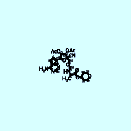 CC(=O)O[C@H]1[C@H](c2ccc3c(N)ncnn23)O[C@](C#N)(COCN[C@@H](C)C(=O)OC2CCOCC2)[C@H]1OC(C)=O